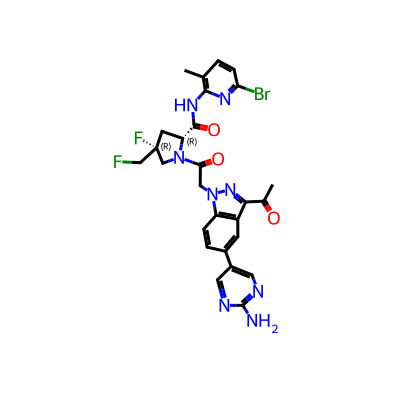 CC(=O)c1nn(CC(=O)N2C[C@@](F)(CF)C[C@@H]2C(=O)Nc2nc(Br)ccc2C)c2ccc(-c3cnc(N)nc3)cc12